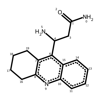 NC(=O)CC(N)c1c2c(nc3ccccc13)CCCC2